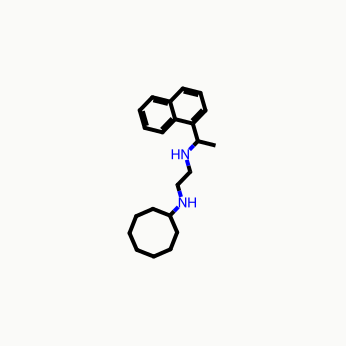 CC(NCCNC1CCCCCCC1)c1cccc2ccccc12